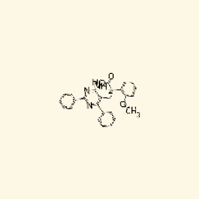 COc1ccccc1C(Cc1c(N)nc(-c2ccccc2)nc1-c1ccccc1)C(=O)O